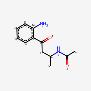 CC(=O)NC(C)CC(=O)c1ccccc1N